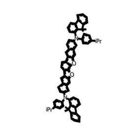 CC(C)c1ccc(N(c2ccc3cc4c(cc3c2)oc2c4ccc3c4cc5ccc(N(c6ccc(C(C)C)cc6)c6cccc7c6C(C)(C)c6ccccc6-7)cc5cc4oc32)c2cccc3c2C(C)(C)c2ccccc2-3)cc1